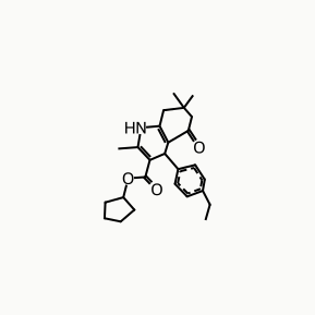 CCc1ccc(C2C(C(=O)OC3CCCC3)=C(C)NC3=C2C(=O)CC(C)(C)C3)cc1